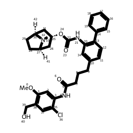 COc1cc(NC(=O)CCCc2ccc(-c3ccccc3)c(NC(=O)O[C@@H]3C[C@H]4CC[C@@H](C3)N4C)c2)c(Cl)cc1CO